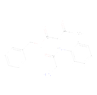 COC(=O)[C@@H](C(=O)OCc1ccccc1)N(C(=O)CN)c1ccccc1